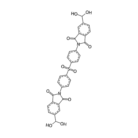 O=C1c2ccc(C(O)O)cc2C(=O)N1c1ccc(S(=O)(=O)c2ccc(N3C(=O)c4ccc(C(O)O)cc4C3=O)cc2)cc1